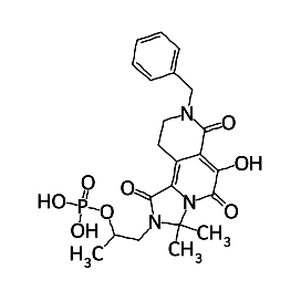 CC(CN1C(=O)c2c3c(c(O)c(=O)n2C1(C)C)C(=O)N(Cc1ccccc1)CC3)OP(=O)(O)O